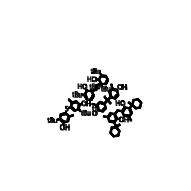 CC(C)(C)C1=CC=CC(CCC2(C(C)(C)C)C=CC=C(C(C)(C)C)C2O)(C(C)(C)C)C1O.Cc1cc(C(C)(C)c2ccc(O)c(C)c2)ccc1O.Cc1cc(Cc2cc(C)cc(C3(C)CCCCC3)c2O)c(O)c(C2(C)CCCCC2)c1.Cc1cc(O)c(C(C)(C)C)cc1Sc1cc(C(C)(C)C)c(O)cc1C